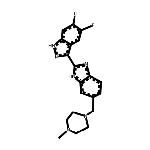 CN1CCN(Cc2ccc3nc(-c4n[nH]c5cc(Cl)c(F)cc45)[nH]c3c2)CC1